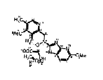 C=C.COc1ccc2[nH]c([S+]([O-])Cc3ncc(C)c(OC)c3C)nc2n1.O=C([O-])CO.[K+]